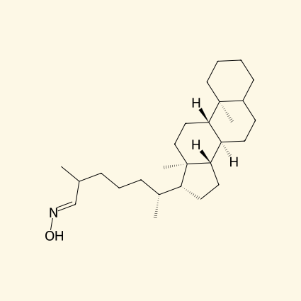 CC(C=NO)CCC[C@@H](C)[C@H]1CC[C@H]2[C@@H]3CCC4CCCC[C@]4(C)[C@H]3CC[C@]12C